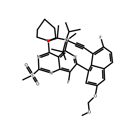 COCOc1cc(-c2nc(OC)c3c(N4CCCCC4)nc(S(C)(=O)=O)nc3c2F)c2c(C#C[Si](C(C)C)(C(C)C)C(C)C)c(F)ccc2c1